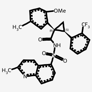 COc1ccc(C)cc1[C@@]1(C(=O)NS(=O)(=O)c2cccc3nc(C)ccc23)C[C@H]1c1ccccc1C(F)(F)F